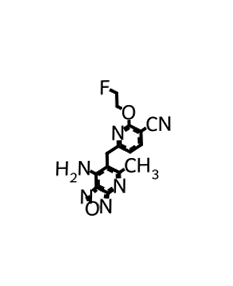 Cc1nc2nonc2c(N)c1Cc1ccc(C#N)c(OCCF)n1